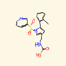 Cc1ccccc1-c1cc(CNC(=O)O)cn1S(=O)(=O)c1cccnc1